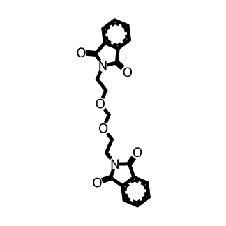 O=C1c2ccccc2C(=O)N1CCOCOCCN1C(=O)c2ccccc2C1=O